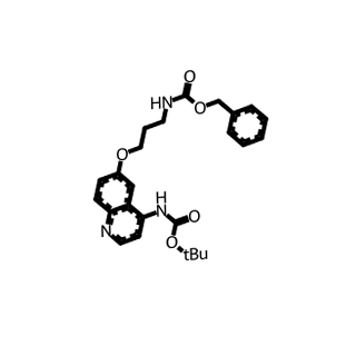 CC(C)(C)OC(=O)Nc1ccnc2ccc(OCCCNC(=O)OCc3ccccc3)cc12